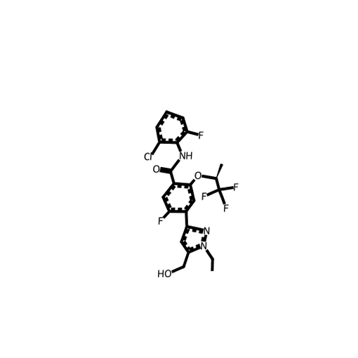 CCn1nc(-c2cc(O[C@@H](C)C(F)(F)F)c(C(=O)Nc3c(F)cccc3Cl)cc2F)cc1CO